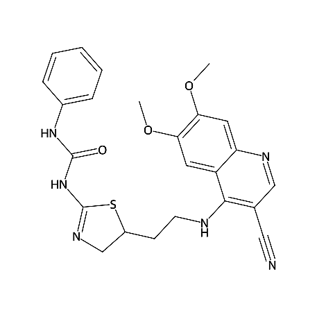 COc1cc2ncc(C#N)c(NCCC3CN=C(NC(=O)Nc4ccccc4)S3)c2cc1OC